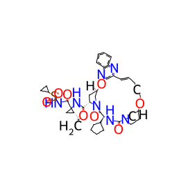 C=C[C@@H]1C[C@]1(NC(=O)[C@@H]1C[C@@H]2CN1C(=O)[C@H](C1CCCC1)NC(=O)N1CC[C@@H](C1)OCCC/C=C/c1nc3ccccc3nc1O2)C(=O)NS(=O)(=O)C1CC1